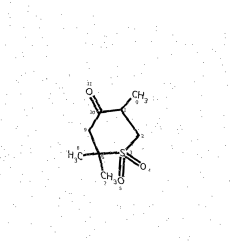 CC1CS(=O)(=O)C(C)(C)CC1=O